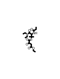 CCOC(=O)CC(=O)C(=O)SC(C)(C)C(NC(=O)CC)C(=O)N(CC)CC